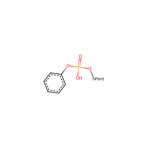 CCCCCOP(=O)(O)Oc1ccccc1